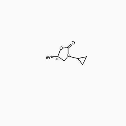 CC(C)[C@@H]1CN(C2CC2)C(=O)O1